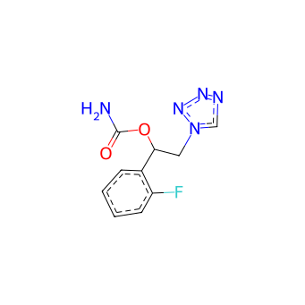 NC(=O)OC(Cn1cnnn1)c1ccccc1F